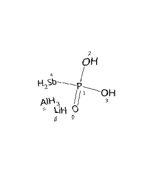 O=[P](O)(O)[SbH2].[AlH3].[LiH]